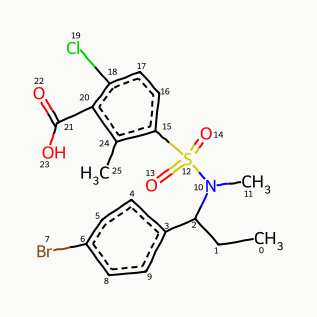 CCC(c1ccc(Br)cc1)N(C)S(=O)(=O)c1ccc(Cl)c(C(=O)O)c1C